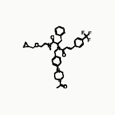 CC(=O)N1CCN(c2ccc(CN(C(=O)C=Cc3ccc(C(F)(F)F)cc3)C(Cc3ccccc3)C(=O)N(C)CCOCC3CC3)cc2)CC1